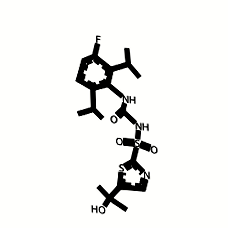 CC(C)c1ccc(F)c(C(C)C)c1NC(=O)NS(=O)(=O)c1ncc(C(C)(C)O)s1